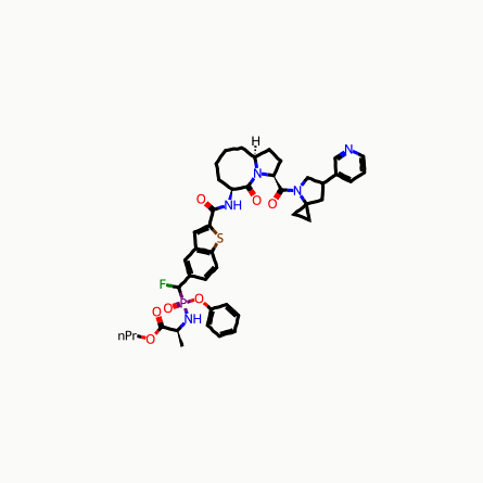 CCCOC(=O)[C@H](C)NP(=O)(Oc1ccccc1)C(F)c1ccc2sc(C(=O)N[C@H]3CCCC[C@H]4CC[C@@H](C(=O)N5CC(c6cccnc6)CC56CC6)N4C3=O)cc2c1